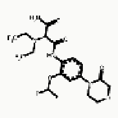 NC(=O)[C@@H](C(=O)Nc1ccc(N2CCOCC2=O)cc1OC(F)F)N(CC(F)(F)F)CC(F)(F)F